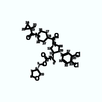 CN(C(=O)OC[C@H]1CCOC1)[C@H]1CN(C(=O)C2CCN(C(=O)C3(C)CC3)CC2)C[C@@H]1c1ccc(Cl)c(Cl)c1